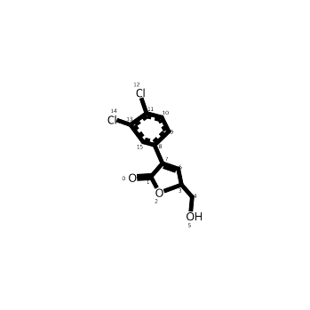 O=C1OC(CO)C=C1c1ccc(Cl)c(Cl)c1